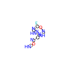 Fc1cc(OCCN2CCCC2)cc(-c2nccc3[nH]c(-c4n[nH]c5ccc(-c6cncc(OC7CCNCC7)c6)cc45)nc23)c1